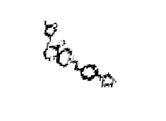 O=C1C=C(N2CCOC3(CCN(CCc4ccc(-n5cnnn5)nc4)CC3)C2=O)CO1